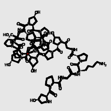 NCCCC[C@H](NC(=O)CNC(=O)[C@@H]1CCCN1C(=O)[C@@H]1C[C@@H](O)CN1)C(=O)N1CCC[C@H]1C(=O)NCC(=O)N1C[C@H](O)C[C@H]1C(=O)N1CCC[C@H]1C(=O)NCC(=O)N1C[C@H](O)C[C@H]1C(=O)N1CCC[C@H]1C(=O)NCC(=O)N1C[C@H](O)C[C@H]1C(=O)N1CCC[C@H]1C(=O)NCC(=O)N1C[C@H](O)C[C@H]1C(=O)N1CCC[C@H]1C(=O)NCC(=O)N1C[C@H](O)C[C@H]1C(=O)N1CCC[C@H]1C(=O)NCC(=O)O